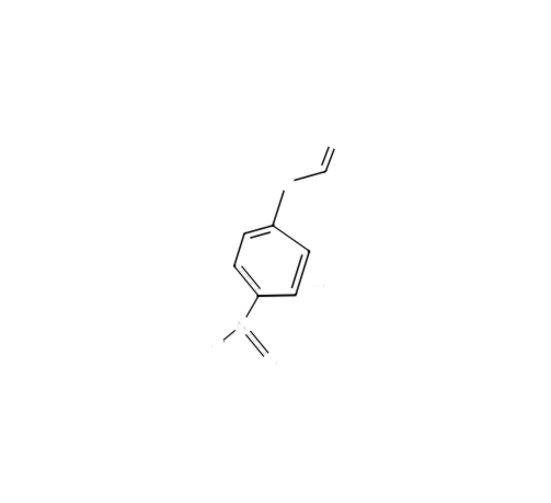 Cl.O=COc1ccc([N+](=O)[O-])cc1